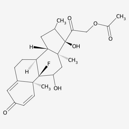 CC(=O)OCC(=O)[C@@]1(O)C(C)C[C@H]2[C@@H]3CCC4=CC(=O)C=C[C@]4(C)[C@@]3(F)C(O)C[C@@]21C